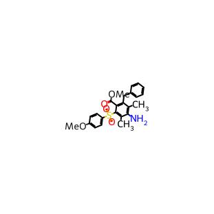 COC(=O)c1c(Cc2ccccc2)c(C)c(N)c(C)c1S(=O)(=O)c1ccc(OC)cc1